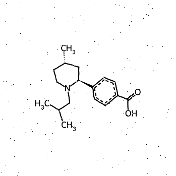 CC(C)CN1CC[C@H](C)C[C@H]1c1ccc(C(=O)O)cc1